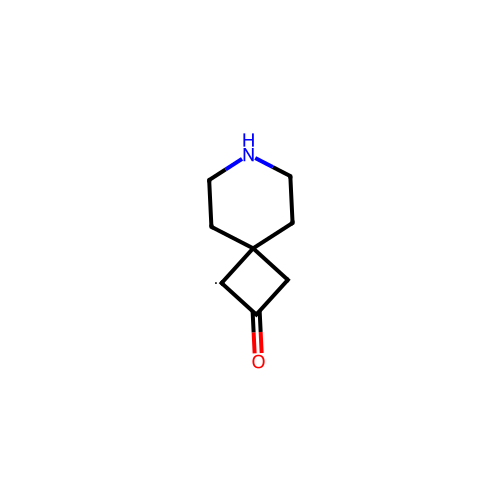 O=C1[CH]C2(CCNCC2)C1